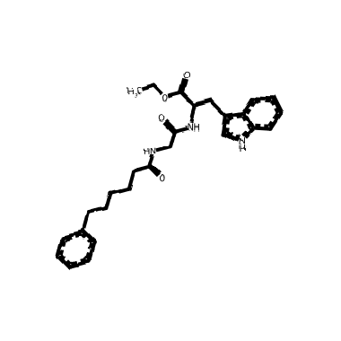 CCOC(=O)C(Cc1c[nH]c2ccccc12)NC(=O)CNC(=O)CCCCCc1ccccc1